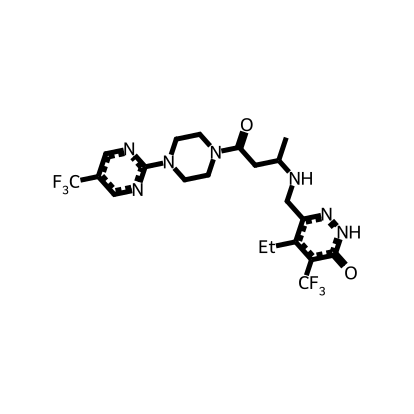 CCc1c(CNC(C)CC(=O)N2CCN(c3ncc(C(F)(F)F)cn3)CC2)n[nH]c(=O)c1C(F)(F)F